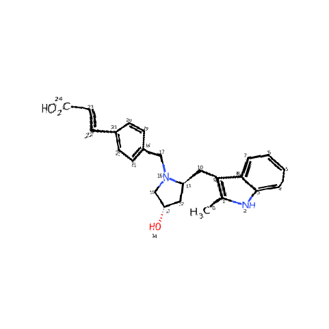 Cc1[nH]c2ccccc2c1C[C@H]1C[C@H](O)CN1Cc1ccc(/C=C/C(=O)O)cc1